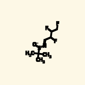 CC(C)(C)[S+]([O-])N=CC(F)C(F)CF